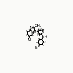 Br.Cc1nc2ccc(Cl)cn2c1-c1csc(Nc2ccc(Br)cc2)n1